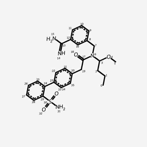 CCCC(OC)N(Cc1cccc(C(=N)N)c1)C(=O)Cc1ccc(-c2ccccc2S(N)(=O)=O)cc1